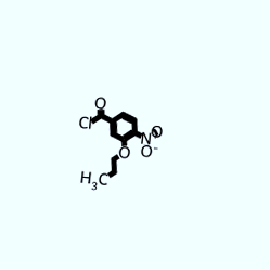 CCCOc1cc(C(=O)Cl)ccc1[N+](=O)[O-]